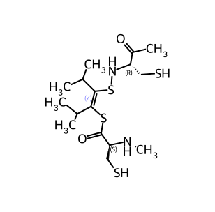 CN[C@@H](CS)C(=O)S/C(=C(\SN[C@@H](CS)C(C)=O)C(C)C)C(C)C